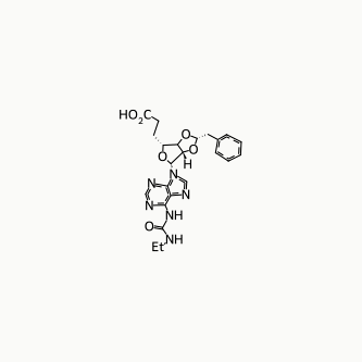 CCNC(=O)Nc1ncnc2c1ncn2[C@@H]1O[C@H](CCC(=O)O)C2O[C@H](Cc3ccccc3)O[C@@H]21